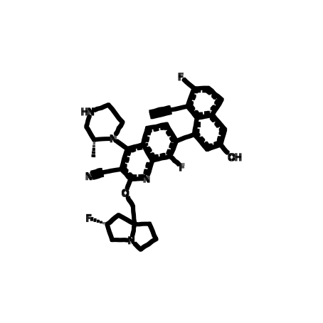 C#Cc1c(F)ccc2cc(O)cc(-c3ccc4c(N5CCNC[C@H]5C)c(C#N)c(OCC56CCCN5C[C@H](F)C6)nc4c3F)c12